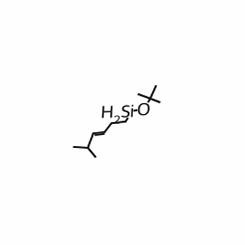 CC(C)C=CCC[SiH2]OC(C)(C)C